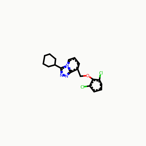 Clc1cccc(Cl)c1OCc1cccn2c(C3CCCCC3)nnc12